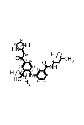 CC(C)CCNC(=O)c1cccc(Nc2ccc(C(=O)N=C3NCCN3)cc2C(C)(C)O)c1